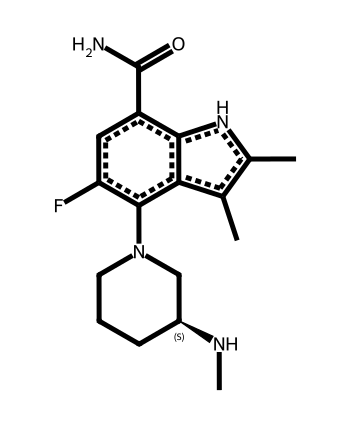 CN[C@H]1CCCN(c2c(F)cc(C(N)=O)c3[nH]c(C)c(C)c23)C1